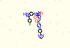 CO/N=C(/C)C1(C(=O)Nc2ccc3[nH]nc(-c4ccc(F)cc4)c3c2)CCN(CC(=O)N2CCN(c3ccc(-c4ncccn4)cc3)CC2)C1